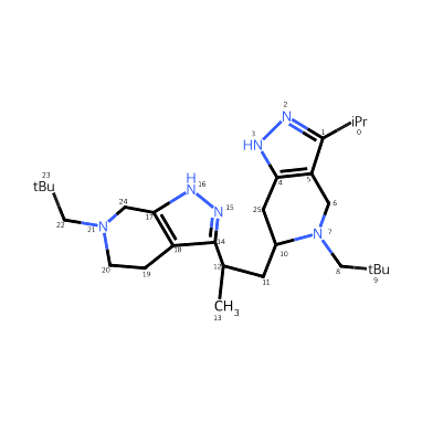 CC(C)c1n[nH]c2c1CN(CC(C)(C)C)C(CC(C)c1n[nH]c3c1CCN(CC(C)(C)C)C3)C2